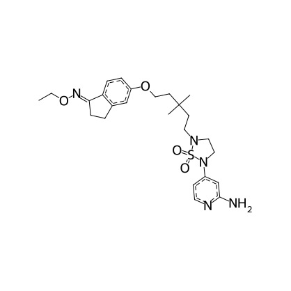 CCON=C1CCc2cc(OCCC(C)(C)CCN3CCN(c4ccnc(N)c4)S3(=O)=O)ccc21